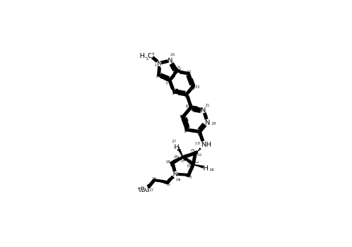 Cn1cc2cc(-c3ccc(N[C@@H]4[C@@H]5CN(CCC(C)(C)C)C[C@@H]54)nn3)ccc2n1